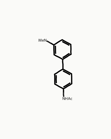 CNc1cccc(-c2ccc(NC(C)=O)cc2)c1